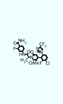 COc1cn([C@@H](C)C(=O)Nc2ccc(C(N)=O)c(F)c2)c(=O)cc1-c1c(-n2cc(C(F)(F)F)nn2)ccc(Cl)c1F